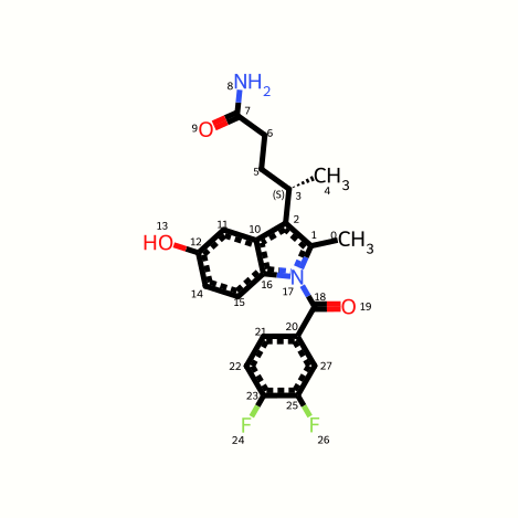 Cc1c([C@@H](C)CCC(N)=O)c2cc(O)ccc2n1C(=O)c1ccc(F)c(F)c1